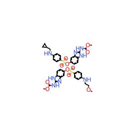 COC(=O)Nc1nc2cc(OS(=O)(=O)c3ccc(NCC4CC4)cc3)ccc2[nH]1.COCCNc1ccc(S(=O)(=O)Oc2ccc3[nH]c(NC(=O)OC)nc3c2)cc1